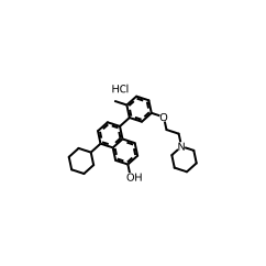 Cc1ccc(OCCN2CCCCC2)cc1-c1ccc(C2CCCCC2)c2cc(O)ccc12.Cl